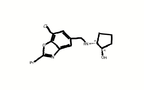 CC(C)c1nc2cc(CN[C@@H]3CCC[C@H]3O)cc(Cl)c2o1